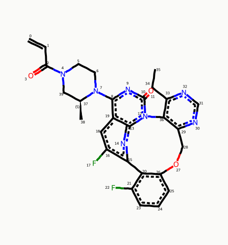 C=CC(=O)N1CCN(c2nc(=O)n3c4nc(c(F)cc24)-c2c(F)cccc2OCc2ncnc(CC)c2-3)[C@@H](C)C1